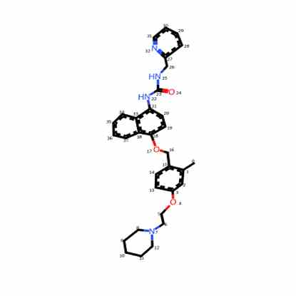 Cc1cc(OCCN2CCCCC2)ccc1COc1ccc(NC(=O)NCc2ccccn2)c2ccccc12